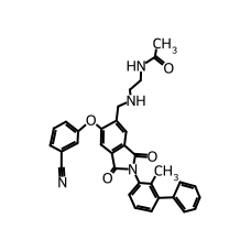 CC(=O)NCCNCc1cc2c(cc1Oc1cccc(C#N)c1)C(=O)N(c1cccc(-c3ccccc3)c1C)C2=O